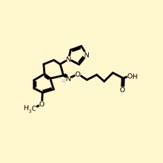 COc1ccc2c(c1)/C(=N/OCCCCC(=O)O)C(n1ccnc1)CC2